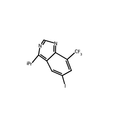 CC(C)c1ncnc2c(C(F)(F)F)cc(I)cc12